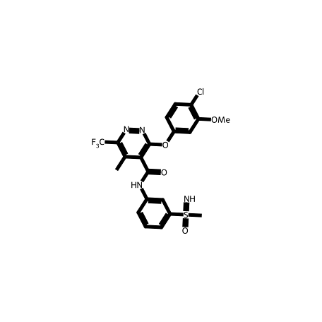 COc1cc(Oc2nnc(C(F)(F)F)c(C)c2C(=O)Nc2cccc(S(C)(=N)=O)c2)ccc1Cl